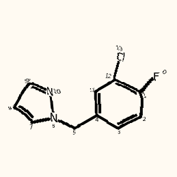 Fc1ccc(Cn2c[c]cn2)cc1Cl